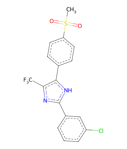 CS(=O)(=O)c1ccc(-c2[nH]c(-c3cccc(Cl)c3)nc2C(F)(F)F)cc1